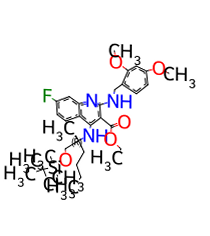 CCCC[C@](C)(CO[Si](C)(C)C(C)(C)C)Nc1c(C(=O)OCC)c(NCc2ccc(OC)cc2OC)nc2cc(F)ccc12